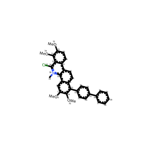 COc1cc2c(ccc3c4ccc(OC)c(OC)c4c(Cl)[n+](C)c23)c(-c2ccc(-c3ccccc3)cc2)c1OC